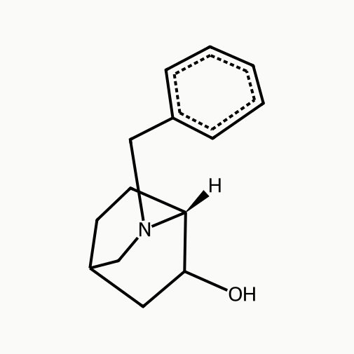 OC1CC2CC[C@H]1N(Cc1ccccc1)C2